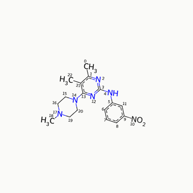 Cc1nc(Nc2cccc([N+](=O)[O-])c2)nc(N2CCN(C)CC2)c1C